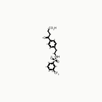 O=C(O)CCC(=O)c1ccc(CCNS(=O)(=O)c2cccc(C(F)(F)F)c2)cc1